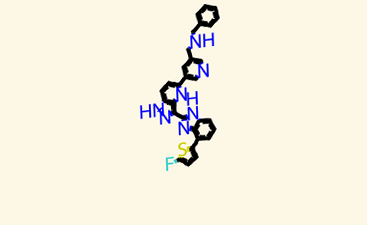 Fc1ccc(-c2cccc3[nH]c(-c4n[nH]c5ccc(-c6cncc(CNCc7ccccc7)c6)nc45)nc23)s1